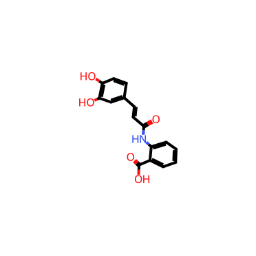 O=C(C=Cc1ccc(O)c(O)c1)Nc1ccccc1C(=O)O